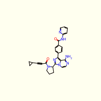 Nc1nccn2c(C3CCCN3C(=O)C#CC3CC3)nc(-c3ccc(C(=O)Nc4ccccn4)cc3)c12